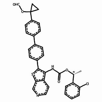 C[C@@H](OC(=O)Nc1c(-c2ccc(-c3ccc(C4(OC=O)CC4)cc3)cc2)sc2cnccc12)c1ccccc1Cl